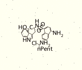 CCCCCC(N)Cl.Nc1ccc(S(=O)(=O)NC(Cc2c[nH]c3ccccc23)C(=O)O)c2ccccc12